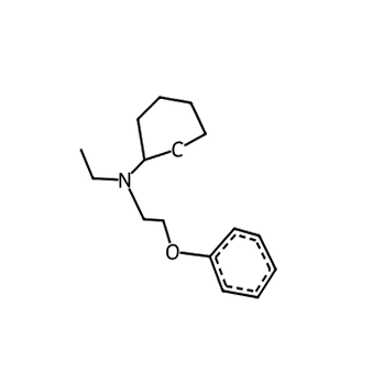 CCN(CCOc1ccccc1)C1CCCCC1